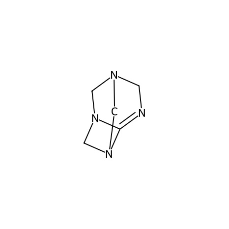 C1N=C2N3CN1CN2C3